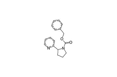 O=C(OCc1ccccc1)N1CCCC1c1ccccn1